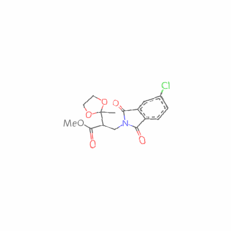 COC(=O)C(CN1C(=O)c2ccc(Cl)cc2C1=O)C1(C)OCCO1